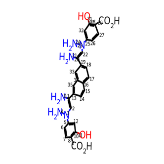 N/C(=C\N(N)c1ccc(C(=O)O)c(O)c1)c1ccc2ccc(/C(N)=C/N(N)c3ccc(C(=O)O)c(O)c3)cc2c1